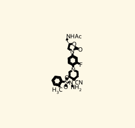 CC(=O)NC[C@H]1CN(c2ccc(N3CCC(C#N)(N(N)S(=O)(=O)c4ccccc4C)CC3)c(F)c2)C(=O)O1